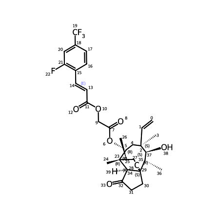 C=C[C@]1(C)C[C@@H](OC(=O)COC(=O)/C=C/c2ccc(C(F)(F)F)cc2F)[C@]2(C)[C@H](C)CC[C@]3(CCC(=O)[C@H]32)[C@@H](C)[C@@H]1O